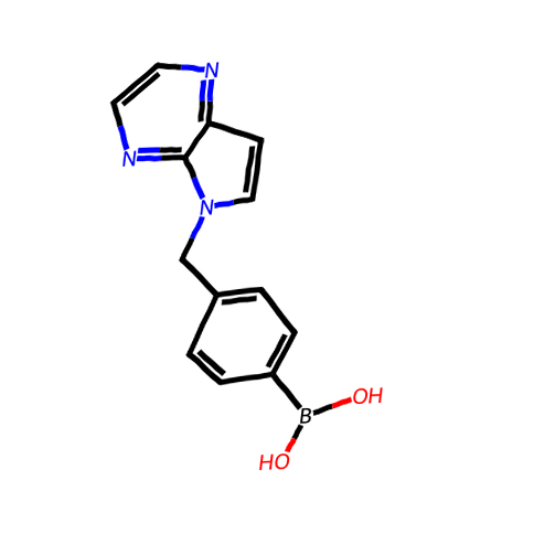 OB(O)c1ccc(Cn2ccc3nccnc32)cc1